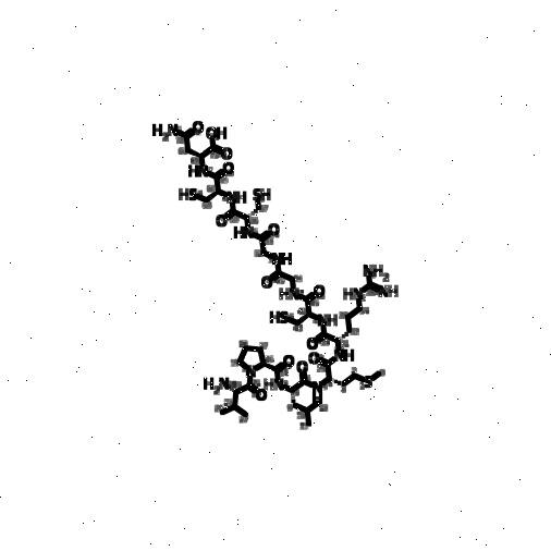 CSCC[C@H](NC(=O)[C@H](CC(C)C)NC(=O)[C@@H]1CCCN1C(=O)[C@@H](N)C(C)C)C(=O)N[C@@H](CCCNC(=N)N)C(=O)N[C@@H](CS)C(=O)NCC(=O)NCC(=O)N[C@@H](CS)C(=O)N[C@@H](CS)C(=O)N[C@@H](CC(N)=O)C(=O)O